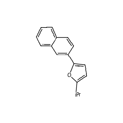 CC(C)c1ccc(-c2ccc3ccccc3c2)o1